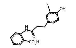 O=C(CCc1ccc(O)c(F)c1)Nc1ccccc1C(=O)O